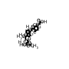 CC(=O)O[C@@H]([C@H]1C[C@@H](C)C2C(CC3[C@H](CCC4C(C)CC[C@H](OCC(=O)O)C4(C)C)CCC[C@@]32C)O1)C(C)(C)O